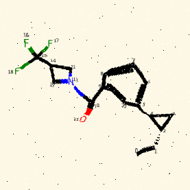 CC[C@H]1C[C@@H]1c1cccc(C(=O)N2CC(C(F)(F)F)C2)c1